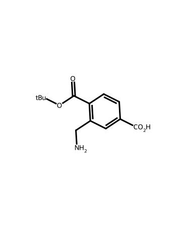 CC(C)(C)OC(=O)c1ccc(C(=O)O)cc1CN